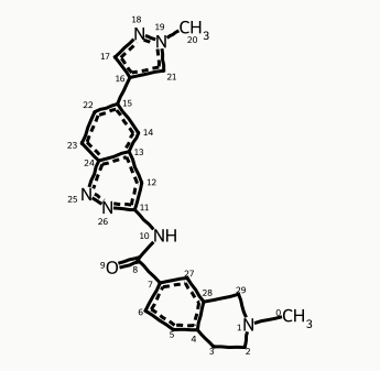 CN1CCc2ccc(C(=O)Nc3cc4cc(-c5cnn(C)c5)ccc4nn3)cc2C1